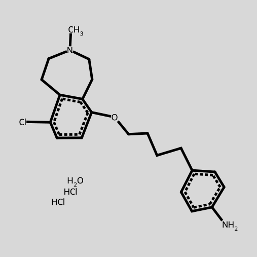 CN1CCc2c(Cl)ccc(OCCCCc3ccc(N)cc3)c2CC1.Cl.Cl.O